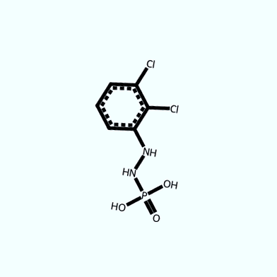 O=P(O)(O)NNc1cccc(Cl)c1Cl